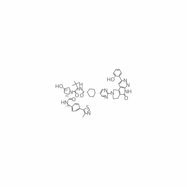 Cc1ncsc1-c1ccc([C@H](C)NC(=O)[C@@H]2C[C@@H](O)CN2C(=O)[C@@H](NC(=O)[C@H]2CC[C@@H](c3cnc(N4CCc5c(c6cc(-c7ccccc7O)nnc6[nH]c5=O)C4)nc3)CC2)C(C)(C)C)cc1